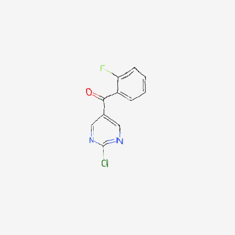 O=C(c1cnc(Cl)nc1)c1ccccc1F